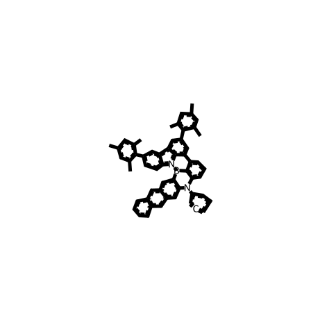 Cc1cc(C)c(-c2ccc3c(c2)c2cc(-c4c(C)cc(C)cc4C)cc4c2n3B2c3cc5cc6ccccc6cc5cc3N(c3ccccc3)c3cccc-4c32)c(C)c1